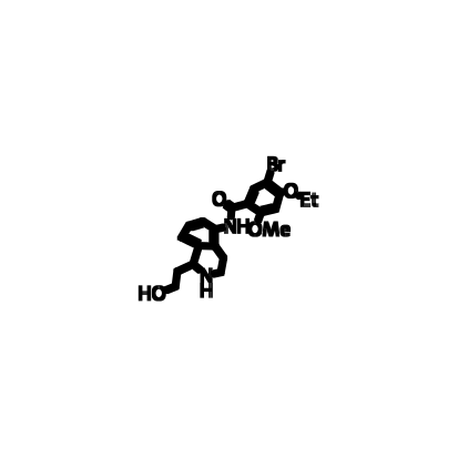 CCOc1cc(OC)c(C(=O)Nc2cccc3c2CCNC3CCO)cc1Br